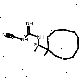 C[C@@H](NC(=N)NC#N)C1(C)CCCCCCCCC1